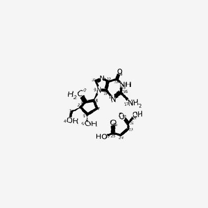 C=C1[C@H](CO)[C@@H](O)C[C@@H]1n1cnc2c(=O)[nH]c(N)nc21.O=C(O)/C=C\C(=O)O